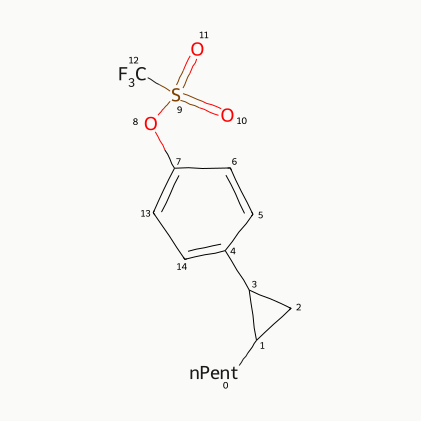 CCCCCC1CC1c1ccc(OS(=O)(=O)C(F)(F)F)cc1